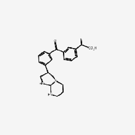 CC(C(=O)O)c1cccc(C(=O)c2cccc(C3CNC4NCCCN4C3)c2)c1